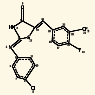 O=C1NC(=Nc2ccc(Cl)cc2)SC1=Cc1ccc(F)c(C(F)(F)F)c1